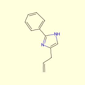 C=CCc1c[nH]c(-c2ccccc2)n1